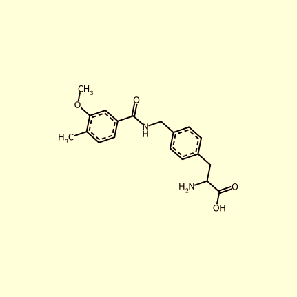 COc1cc(C(=O)NCc2ccc(CC(N)C(=O)O)cc2)ccc1C